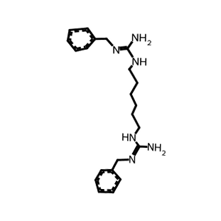 NC(=NCc1ccccc1)NCCCCCCNC(N)=NCc1ccccc1